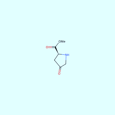 COC(=O)[C@@H]1CC(=O)CN1